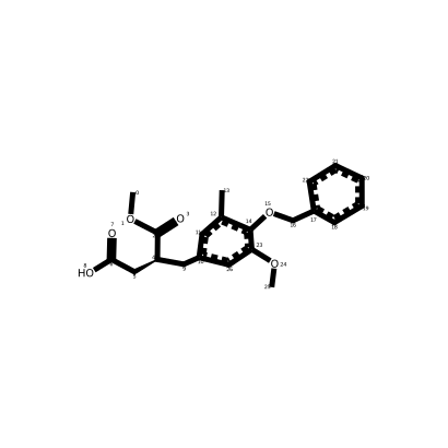 COC(=O)[C@H](CC(=O)O)Cc1cc(C)c(OCc2ccccc2)c(OC)c1